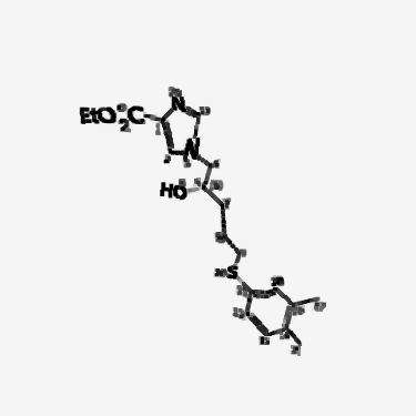 CCOC(=O)c1cn(C[C@@H](O)CCCSc2ccc(C)c(C)c2)cn1